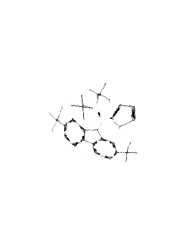 CC(C)(C)c1ccc2c(c1)[CH]([Zr+2]([C]1=CC=CC1)=[Si](C(C)(C)C)C(C)(C)C)c1cc(C(C)(C)C)ccc1-2.[Cl-].[Cl-]